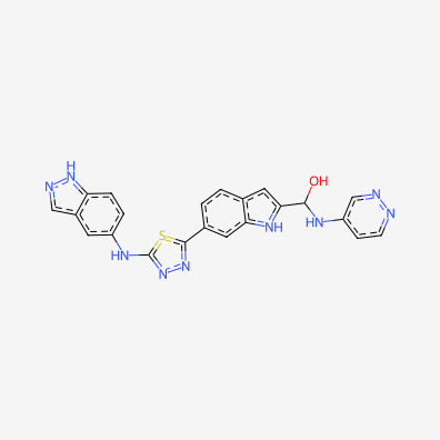 OC(Nc1ccnnc1)c1cc2ccc(-c3nnc(Nc4ccc5[nH]ncc5c4)s3)cc2[nH]1